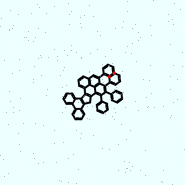 c1ccc(-c2c(-c3ccccc3)c3c(-c4ccccc4)cc4cccc5c6c(c(c2-c2ccccc2)c3c45)Cc2c-6c3ccccc3c3ccccc23)cc1